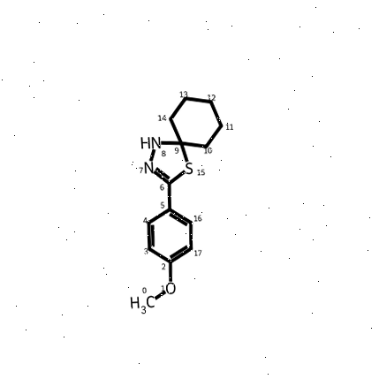 COc1ccc(C2=NNC3(CCCCC3)S2)cc1